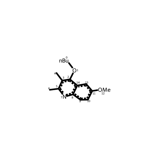 CCCCOc1c(C)c(C)nc2ccc(OC)cc12